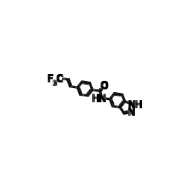 O=C(Nc1ccc2[nH]ncc2c1)c1ccc(C=CC(F)(F)F)cc1